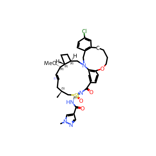 CO[C@H]1/C=C/C[C@H](C)C[S@@](=O)(NC(=O)c2cnn(C)c2)=NC(=O)c2ccc3c(c2)N(Cc2ccc(Cl)cc2CCCCO3)C[C@@H]2CC[C@H]21